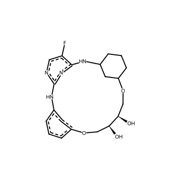 O[C@@H]1COC2CCCC(C2)Nc2nc(ncc2F)Nc2cccc(c2)OC[C@@H]1O